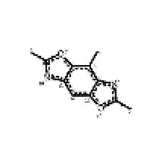 Cc1nc2c(C)c3oc(C)nc3cc2o1